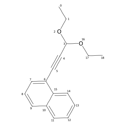 CCOC(C#Cc1cccc2ccccc12)OCC